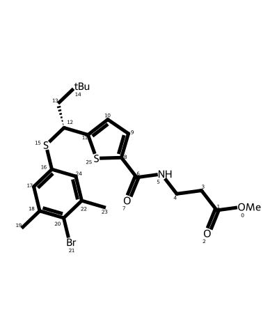 COC(=O)CCNC(=O)c1ccc([C@@H](CC(C)(C)C)Sc2cc(C)c(Br)c(C)c2)s1